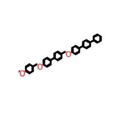 COc1ccc(COc2ccc(-c3ccc(COc4ccc(-c5ccc(-c6ccccc6)cc5)cc4)cc3)cc2)cc1